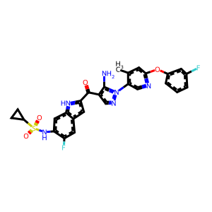 Cc1cc(Oc2cccc(F)c2)ncc1-n1ncc(C(=O)c2cc3cc(F)c(NS(=O)(=O)C4CC4)cc3[nH]2)c1N